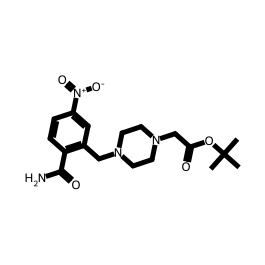 CC(C)(C)OC(=O)CN1CCN(Cc2cc([N+](=O)[O-])ccc2C(N)=O)CC1